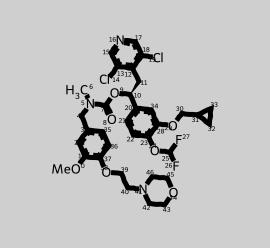 COc1cc(CN(C)C(=O)O[C@@H](Cc2c(Cl)cncc2Cl)c2ccc(OC(F)F)c(OCC3CC3)c2)ccc1OCCN1CCOCC1